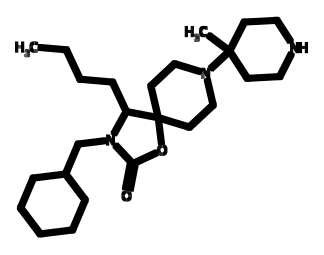 CCCCC1N(CC2CCCCC2)C(=O)OC12CCN(C1(C)CCNCC1)CC2